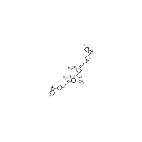 COc1cc(C(C)C(=O)C(C)c2ccc(OCCCN3CCC(c4noc5cc(F)ccc45)CC3)c(OC)c2)ccc1OCCCN1CCC(c2noc3cc(F)ccc23)CC1